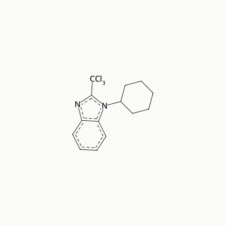 ClC(Cl)(Cl)c1nc2ccccc2n1C1CCCCC1